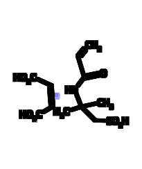 C=CC(=O)NC(C)(C)CS(=O)(=O)O.O=C(O)/C=C\C(=O)O